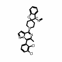 C=N[C@@H]1c2ccccc2OC12CCN(c1nc(C)c(-c3cccc(Cl)c3Cl)n3nccc13)CC2